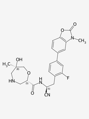 Cn1c(=O)oc2ccc(-c3ccc(C[C@@H](C#N)NC(=O)[C@@H]4CNC[C@@](C)(O)CO4)c(F)c3)cc21